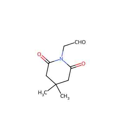 CC1(C)CC(=O)N(CC=O)C(=O)C1